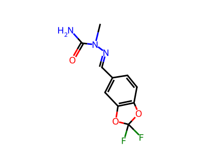 CN(N=Cc1ccc2c(c1)OC(F)(F)O2)C(N)=O